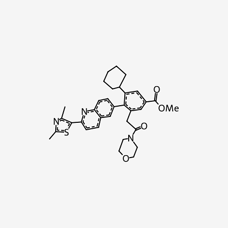 COC(=O)c1cc(CC(=O)N2CCOCC2)c(-c2ccc3nc(-c4sc(C)nc4C)ccc3c2)c(C2CCCCC2)c1